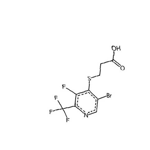 O=C(O)CCSc1c(Br)cnc(C(F)(F)F)c1F